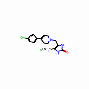 CCOC(=O)c1[nH]c(=O)[nH]c1CN1CC=C(c2ccc(Cl)cc2)CC1.Cl